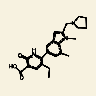 CCc1cc(C(=O)O)c(=O)[nH]c1-c1cc(C)c2c(c1)cc(CN1CCCC1)n2C